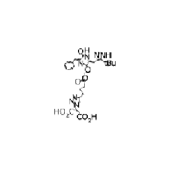 CC(C)(C)c1[nH]cnc1/C=c1\[nH]c(=O)/c(=C/c2ccccc2)nc1OCOC(=O)CCCc1cn([C@@H](CC(=O)O)C(=O)O)nn1